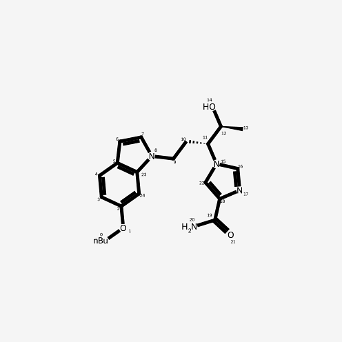 CCCCOc1ccc2ccn(CC[C@H]([C@H](C)O)n3cnc(C(N)=O)c3)c2c1